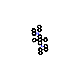 c1ccc(-c2c3ccc(N(c4ccc5ccccc5c4)c4cccc5ccccc45)cc3c(-c3ccccc3)c3ccc(N(c4ccc5ccccc5c4)c4cccc5ccccc45)cc23)cc1